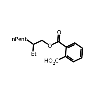 CCCCCC(CC)COC(=O)c1ccccc1C(=O)O